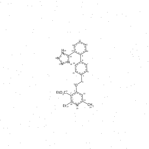 CCOC(=O)c1c(OCc2ccc(-c3ccccc3-c3nnn[nH]3)cc2)cc(C)nc1CC